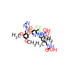 COc1ccc(CN(c2ncns2)S(=O)(=O)c2cnc(NCC(CC(C)(C)CCNC(=O)O)C(C)NC(=O)O)c(C(F)(F)F)c2)c(OC)c1